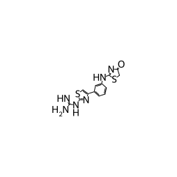 N=C(N)Nc1nc(-c2cccc(NC3=NC(=O)CS3)c2)cs1